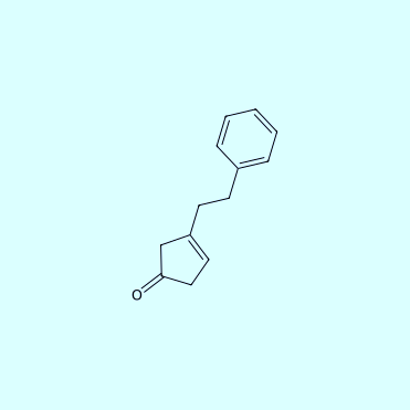 O=C1CC=C(CCc2ccccc2)C1